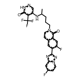 CC(CCCn1ccc2cc(-c3nc4cc(F)ccn4n3)c(F)cc2c1=O)Nc1cn[nH]c(=O)c1C(F)(F)F